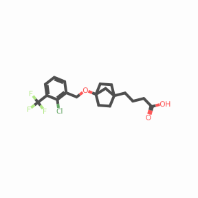 O=C(O)CCCC12CCC(OCc3cccc(C(F)(F)F)c3Cl)(CC1)C2